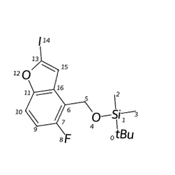 CC(C)(C)[Si](C)(C)OCc1c(F)ccc2oc(I)cc12